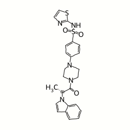 C[C@H](C(=O)N1CCN(c2ccc(S(=O)(=O)Nc3nccs3)cc2)CC1)n1ccc2ccccc21